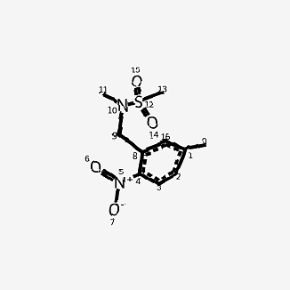 Cc1ccc([N+](=O)[O-])c(CN(C)S(C)(=O)=O)c1